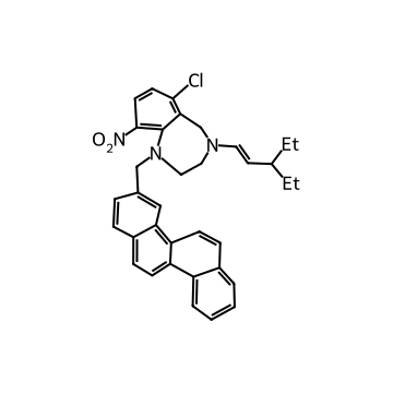 CCC(C=CN1CCN(Cc2ccc3ccc4c5ccccc5ccc4c3c2)c2c([N+](=O)[O-])ccc(Cl)c2C1)CC